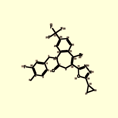 Cc1ccc(CN2C(=O)CC(c3nnc(C4CC4)o3)=C(Br)c3ccc(C(F)(F)F)cc32)cc1F